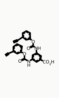 C#Cc1cccc(OC(=O)Nc2cc(NC(=O)Oc3cccc(C#C)c3)cc(C(=O)O)c2)c1